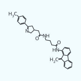 C=C1c2ccccc2-c2cccc(NC(=O)CCCNC(=O)CC3CN=C(c4ccc(C)cc4)C3)c21